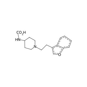 O=C(O)NC1CCN(CCc2coc3ccccc23)CC1